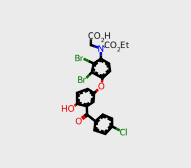 CCOC(=O)N(CC(=O)O)c1ccc(Oc2ccc(O)c(C(=O)c3ccc(Cl)cc3)c2)c(Br)c1Br